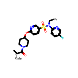 CO[C@H](C)C(=O)N1CCC(Oc2ccc(S(=O)(=O)N(CC(C)C)c3ccc(F)cn3)cn2)CC1